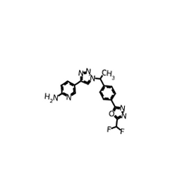 CC(c1ccc(-c2nnc(C(F)F)o2)cc1)n1cc(-c2ccc(N)nc2)nn1